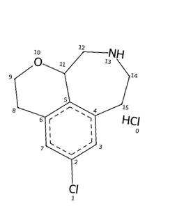 Cl.Clc1cc2c3c(c1)CCOC3CNCC2